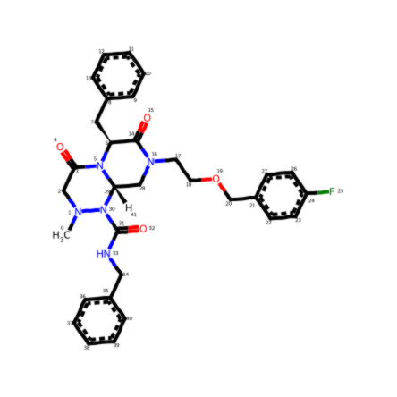 CN1CC(=O)N2[C@@H](Cc3ccccc3)C(=O)N(CCOCc3ccc(F)cc3)C[C@@H]2N1C(=O)NCc1ccccc1